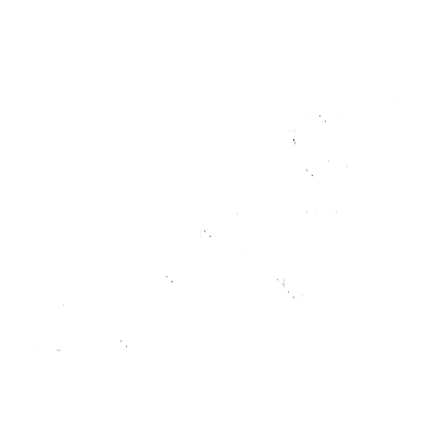 O=C(Cc1cccs1)N[C@@H]1C(=O)N2C(C(=O)[O-])=C(COC(=O)NC3CCN(c4c(F)cc5c(=O)c(C(=O)[O-])cn(C6CC6)c5c4F)C3)CS[C@H]12.[Na+].[Na+]